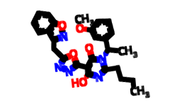 CCCCc1nc(O)c(-c2nnc(Cc3noc4ccccc34)o2)c(=O)n1C(C)c1cccc(OC)c1